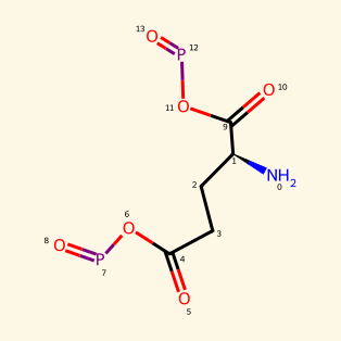 N[C@@H](CCC(=O)OP=O)C(=O)OP=O